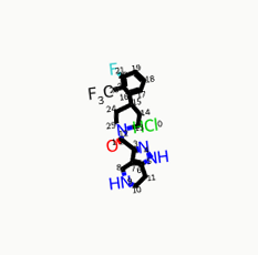 Cl.O=C(c1n[nH]c2c1CNCC2)N1CCC(c2cccc(F)c2C(F)(F)F)CC1